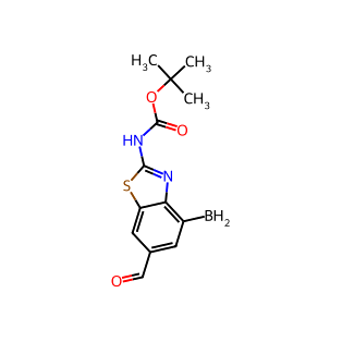 Bc1cc(C=O)cc2sc(NC(=O)OC(C)(C)C)nc12